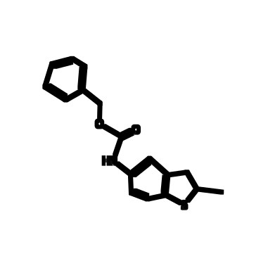 CC1Cc2cc(NC(=O)OCc3ccccc3)ccc2S1